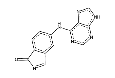 O=C1N=Cc2cc(Nc3ncnc4[nH]cnc34)ccc21